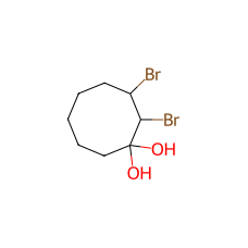 OC1(O)CCCCCC(Br)C1Br